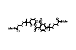 CNC(=O)CCCC(C)(C)c1ccc2c(c1)C(=O)c1ccc(C(C)(C)CCCC(=O)NC)cc1C2=O